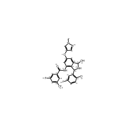 Cn1cc(Oc2cc(NC(=O)c3cc(F)cc(C(F)(F)F)c3)c3c(c2)C(O)NC3c2cc(F)ccc2Cl)cn1